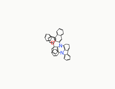 C1=c2c(n(-c3ccccc3)c3ccccc23)=C(N(c2ccccc2-c2ccccc2)c2cc3ccccc3c3c2oc2ccccc23)CC1